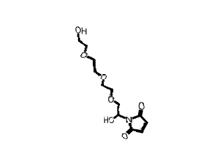 O=C1C=CC(=O)N1C(O)COCCOCCOCCO